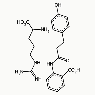 N=C(N)NCCCC(N)C(=O)O.O=C(CCc1ccc(O)cc1)Nc1ccccc1C(=O)O